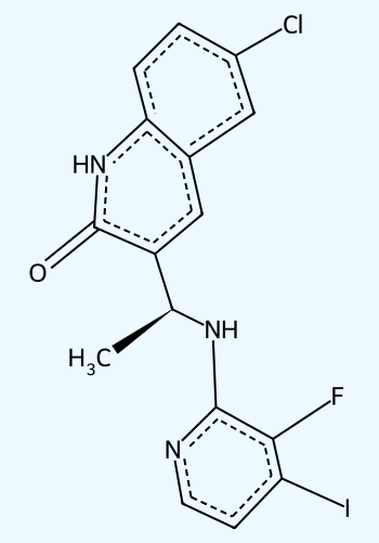 C[C@H](Nc1nccc(I)c1F)c1cc2cc(Cl)ccc2[nH]c1=O